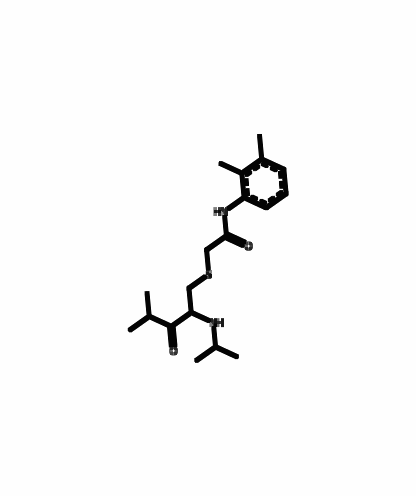 Cc1cccc(NC(=O)CSCC(NC(C)C)C(=O)C(C)C)c1C